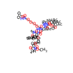 C=CCOC(=O)N1C[C@@H]2CC3(CC3)CC2C(=O)c2cc(OC)c(OCc3cccc(COc4cc(NC(=O)OCc5ccc(NC(=O)[C@H](CO[C@@H]6O[C@H](C(=O)OC)[C@@H](OC(C)=O)[C@H](OC(C)=O)[C@H]6OC(C)=O)NC(=O)[C@@H](NC(C)=O)C(C)C)cc5NC(=O)CCOCCOCCOCCOCCNC(=O)OCC5c6ccccc6-c6ccccc65)c(C(=O)N5CC6(CC6)C[C@H]5CO[Si](C)(C)C(C)(C)C)cc4OC)c3)cc21